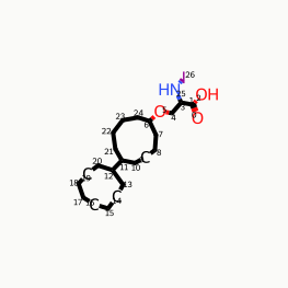 O=C(O)C(COC1CCCCC(C2CCCCCCCC2)CCCC1)NI